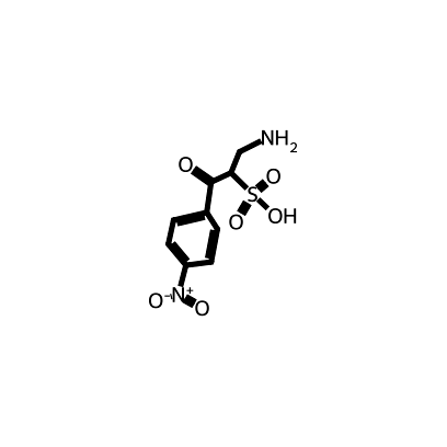 NCC(C(=O)c1ccc([N+](=O)[O-])cc1)S(=O)(=O)O